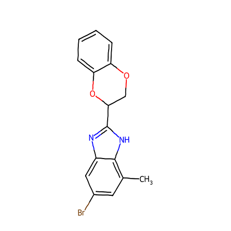 Cc1cc(Br)cc2nc(C3COc4ccccc4O3)[nH]c12